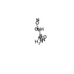 CN(C)c1ccc(CCC(=O)NCCCCn2cnc3c(N)nc4ccccc4c32)cc1